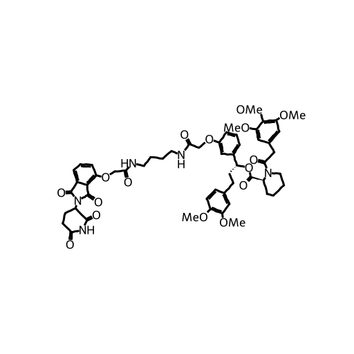 COc1ccc(CC[C@@H](OC(=O)[C@@H]2CCCCN2C(=O)Cc2cc(OC)c(OC)c(OC)c2)c2cccc(OCC(=O)NCCCCNC(=O)COc3cccc4c3C(=O)N(C3CCC(=O)NC3=O)C4=O)c2)cc1OC